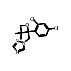 CC1(C)COC1(Cn1cncn1)c1ccc(Cl)cc1Cl